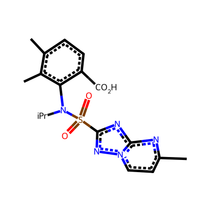 Cc1ccn2nc(S(=O)(=O)N(c3c(C(=O)O)ccc(C)c3C)C(C)C)nc2n1